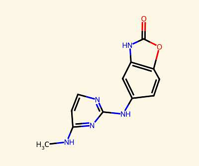 CNc1ccnc(Nc2ccc3oc(=O)[nH]c3c2)n1